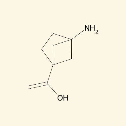 C=C(O)C12CCC(N)(C1)C2